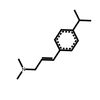 CC(C)c1ccc(/C=C/CN(C)C)cc1